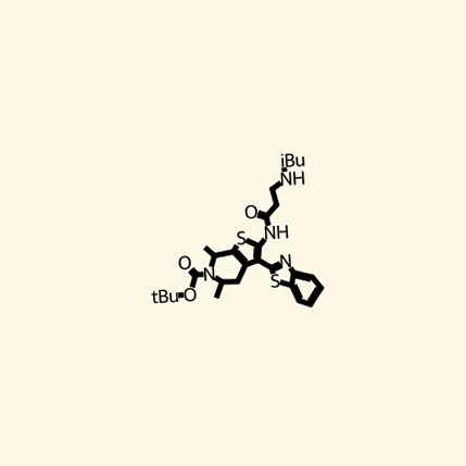 CCC(C)NCCC(=O)Nc1sc2c(c1-c1nc3ccccc3s1)CC(C)N(C(=O)OC(C)(C)C)C2C